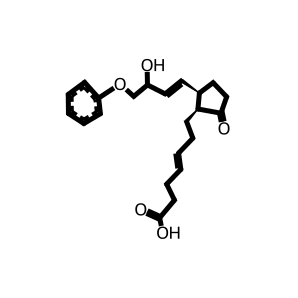 O=C(O)CCC=CCC[C@@H]1C(=O)CC[C@@H]1/C=C/C(O)COc1ccccc1